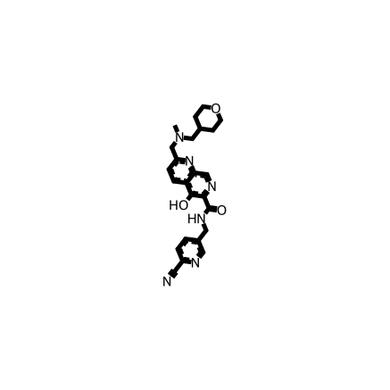 CN(Cc1ccc2c(O)c(C(=O)NCc3ccc(C#N)nc3)ncc2n1)CC1CCOCC1